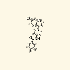 O=C(NC1CCN(c2ccnc3cc(Cl)ccc23)CC1)c1ccc(F)c(F)c1